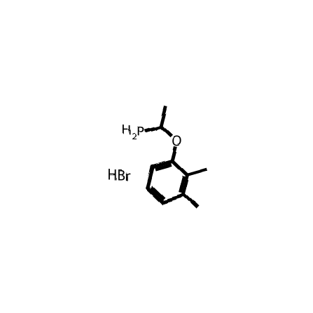 Br.Cc1cccc(OC(C)P)c1C